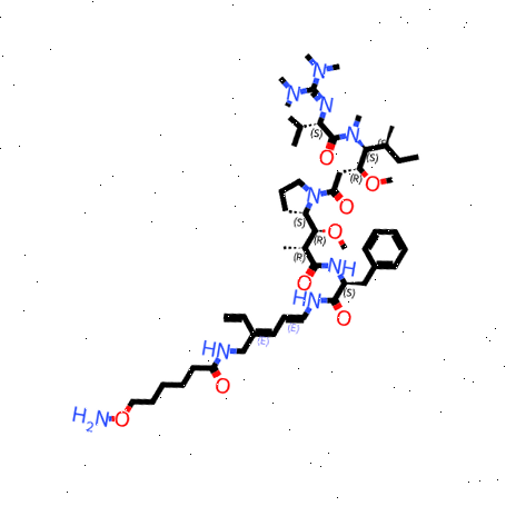 C=C/C(=C\C=C\NC(=O)[C@H](Cc1ccccc1)NC(=O)[C@H](C)[C@@H](OC)[C@@H]1CCCN1C(=O)C[C@@H](OC)[C@H]([C@@H](C)CC)N(C)C(=O)[C@@H](N=C(N(C)C)N(C)C)C(C)C)CNC(=O)CCCCCON